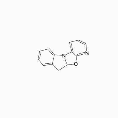 c1ccc2c(c1)CC1Oc3ncccc3N21